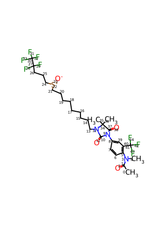 CC(=O)N(C)c1ccc(N2C(=O)N(CCCCCCCCC[S+]([O-])CCCC(F)(F)C(F)(F)F)C(C)(C)C2=O)cc1C(F)(F)F